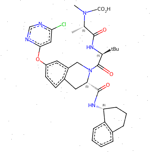 C[C@@H](C(=O)N[C@H](C(=O)N1Cc2cc(Oc3cc(Cl)ncn3)ccc2C[C@H]1C(=O)N[C@@H]1CCCc2ccccc21)C(C)(C)C)N(C)C(=O)O